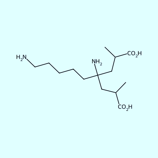 CC(CC(N)(CCCCCN)CC(C)C(=O)O)C(=O)O